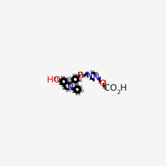 O=C(O)COCCN1CCN(CCOc2ccc([C@@H]3c4ccc(O)cc4CCN3c3ccccc3)cc2)CC1